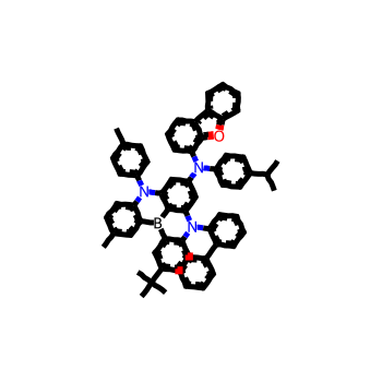 Cc1ccc(N2c3ccc(C)cc3B3c4cc(C(C)(C)C)ccc4N(c4ccccc4-c4ccccc4)c4cc(N(c5ccc(C(C)C)cc5)c5cccc6c5oc5ccccc56)cc2c43)cc1